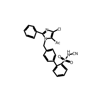 CC(=O)c1c(Cl)nc(-c2ccccc2)n1Cc1ccc(-c2ccccc2S(=O)(=O)NC#N)cc1